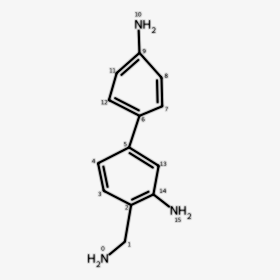 NCc1ccc(-c2ccc(N)cc2)cc1N